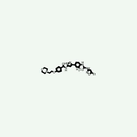 CCc1cc(NC(=O)Nc2ccc(-c3cc(NC(=O)c4ccc(OCCN5CCOCC5)cc4)[nH]n3)cc2C)no1